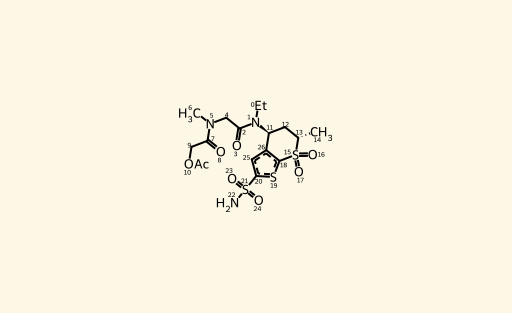 CCN(C(=O)CN(C)C(=O)COC(C)=O)[C@H]1C[C@H](C)S(=O)(=O)c2sc(S(N)(=O)=O)cc21